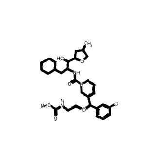 COC(=O)NCCOC(c1cccc(Cl)c1)C1CCCN(C(=O)NC(CC2CCCCC2)C(O)C2CC(C)CO2)C1